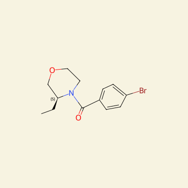 CC[C@H]1COCCN1C(=O)c1ccc(Br)cc1